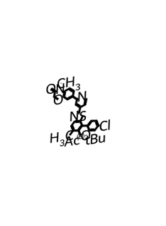 CC(=O)[C@@H](OC(C)(C)C)c1c(C)cc2nc(-c3ccnc(-c4ccc5c(c4)OCC(=O)N5C)c3)sc2c1-c1ccc(Cl)cc1